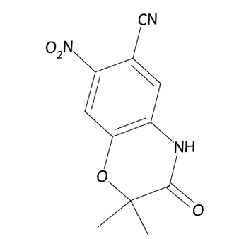 CC1(C)Oc2cc([N+](=O)[O-])c(C#N)cc2NC1=O